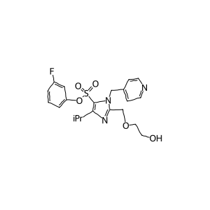 CC(C)c1nc(COCCO)n(Cc2ccncc2)c1S(=O)(=O)Oc1cccc(F)c1